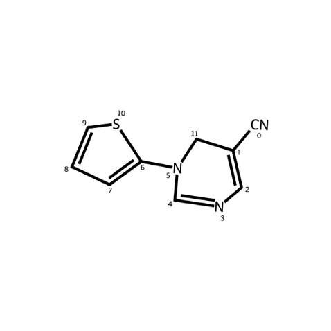 N#CC1=CN=CN(c2cccs2)C1